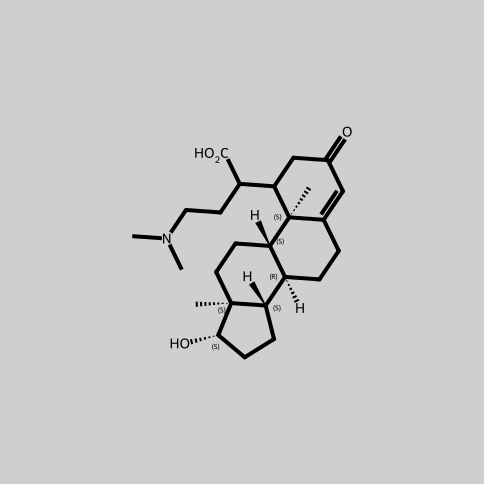 CN(C)CCC(C(=O)O)C1CC(=O)C=C2CC[C@H]3[C@@H]4CC[C@H](O)[C@@]4(C)CC[C@@H]3[C@]21C